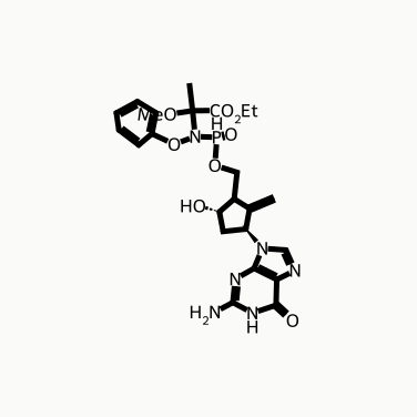 C=C1C(CO[PH](=O)N(Oc2ccccc2)C(C)(OC)C(=O)OCC)[C@@H](O)C[C@@H]1n1cnc2c(=O)[nH]c(N)nc21